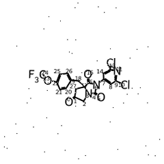 O=C1CN2C(=O)N(c3cc(Cl)nc(Cl)c3)C(=O)[C@@]2(Cc2ccc(OC(F)(F)F)cc2)C1